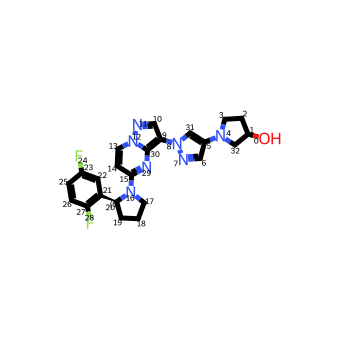 OC1CCN(c2cnn(-c3cnn4ccc(N5CCC[C@H]5c5cc(F)ccc5F)nc34)c2)C1